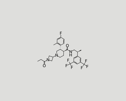 CCC(=O)N1CC(N2CC[C@H](C(=O)NC[C@@H](C)c3cc(C(F)(F)F)cc(C(F)(F)F)c3)[C@@H](c3ccc(F)cc3C)C2)C1